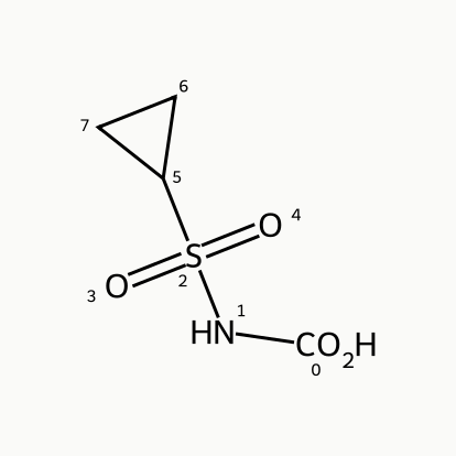 O=C(O)NS(=O)(=O)C1CC1